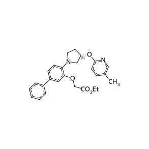 CCOC(=O)COc1cc(-c2ccccc2)ccc1N1CC[C@H](Oc2ccc(C)cn2)C1